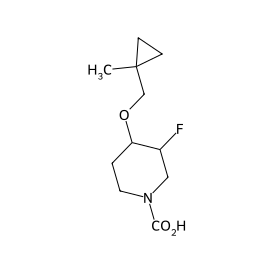 CC1(COC2CCN(C(=O)O)CC2F)CC1